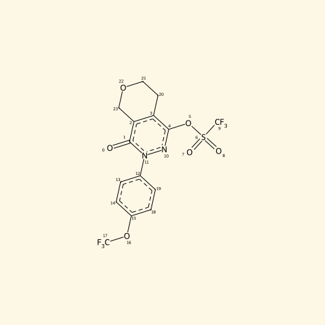 O=c1c2c(c(OS(=O)(=O)C(F)(F)F)nn1-c1ccc(OC(F)(F)F)cc1)CCOC2